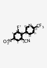 N#Cc1cc([N+](=O)[O-])cc(F)c1-c1ccc(C(F)(F)F)nc1